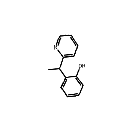 CC(c1ccccn1)c1ccccc1O